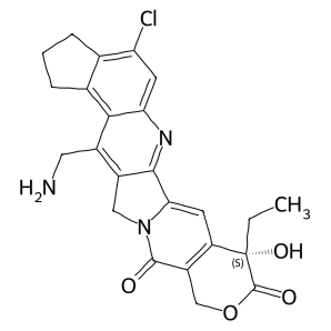 CC[C@@]1(O)C(=O)OCc2c1cc1n(c2=O)Cc2c-1nc1cc(Cl)c3c(c1c2CN)CCC3